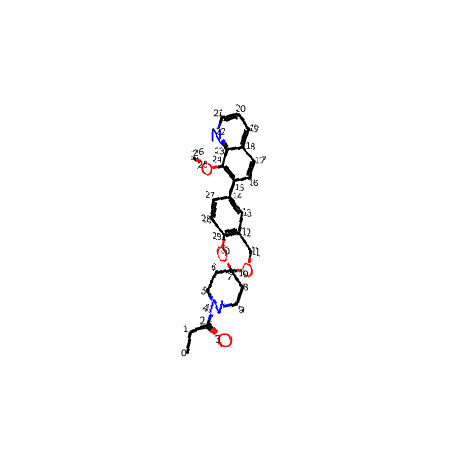 CCC(=O)N1CCC2(CC1)OCc1cc(-c3ccc4cccnc4c3OC)ccc1O2